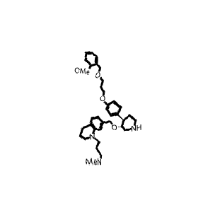 CNCCCN1CCCc2ccc(CO[C@H]3CNCC[C@@H]3c3ccc(OCCCOCc4ccccc4OC)cc3)cc21